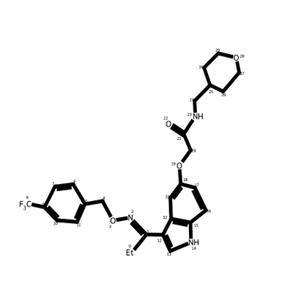 CCC(=NOCc1ccc(C(F)(F)F)cc1)c1c[nH]c2ccc(OCC(=O)NCC3CCOCC3)cc12